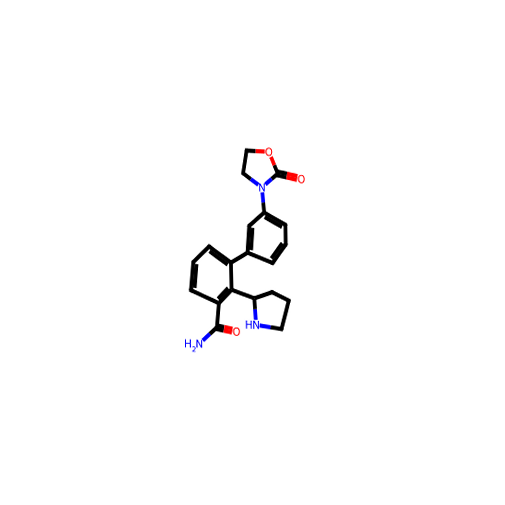 NC(=O)c1cccc(-c2cccc(N3CCOC3=O)c2)c1C1CCCN1